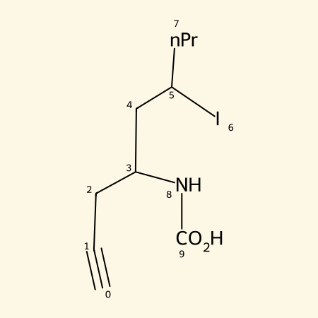 C#CCC(CC(I)CCC)NC(=O)O